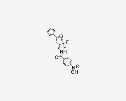 O=C(N/C=C(/CC(=O)c1cccs1)C(F)(F)F)c1ccc([N+](=O)O)cc1